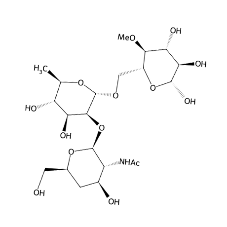 CO[C@H]1[C@H](O)[C@@H](O)[C@H](O)O[C@@H]1CO[C@H]1O[C@H](C)[C@@H](O)[C@H](O)[C@@H]1O[C@@H]1O[C@H](CO)C[C@H](O)[C@H]1NC(C)=O